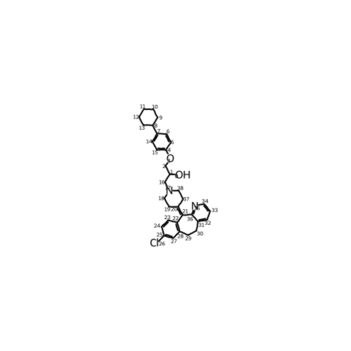 OC(COc1ccc(C2CCCCC2)cc1)CN1CCC(=C2c3ccc(Cl)cc3CCc3cccnc32)CC1